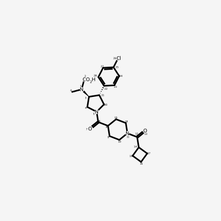 CN(C(=O)O)[C@@H]1CN(C(=O)C2CCN(C(=O)C3CCC3)CC2)C[C@H]1c1ccc(Cl)cc1